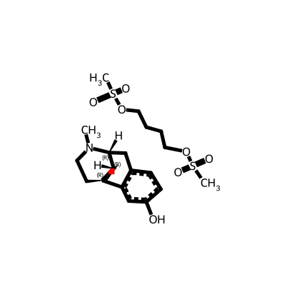 CN1CC[C@]23CCCC[C@H]2[C@H]1Cc1ccc(O)cc13.CS(=O)(=O)OCCCCOS(C)(=O)=O